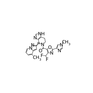 Cc1cccn2nc([C@H]3c4nc[nH]c4CCN3C(=O)c3oc(-c4cn(C)cn4)nc3C(F)F)cc12